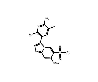 COc1cc2ncc(-c3cc(F)c(N)nc3O)n2cc1S(=O)(=O)C(C)(C)C